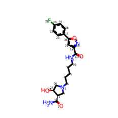 NC(=O)[C@@H]1CN(CCCCCNC(=O)c2cc(-c3ccc(F)cc3)on2)C[C@@H]1O